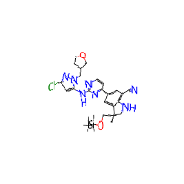 CC(C)(C)[Si](C)(C)OC[C@@]1(C)CNc2c(C#N)cc(-c3ccnc(Nc4cc(Cl)nn4CC4CCOC4)n3)cc21